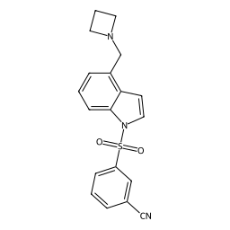 N#Cc1cccc(S(=O)(=O)n2ccc3c(CN4CCC4)cccc32)c1